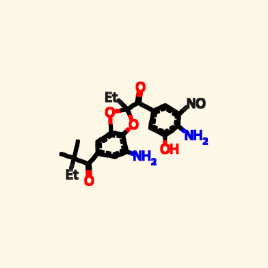 CCC(C)(C)C(=O)c1cc(N)c2c(c1)OC(CC)(C(=O)c1cc(O)c(N)c(N=O)c1)O2